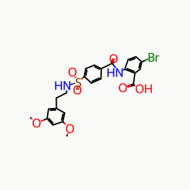 COc1cc(CCNS(=O)(=O)c2ccc(C(=O)Nc3ccc(Br)cc3C(=O)O)cc2)cc(OC)c1